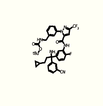 CC(C)(C)OC(=O)NCc1cccc(-n2nc(C(F)(F)F)cc2C(=O)Nc2cc(C(N)(CCC3CC3)c3cccc(C#N)c3)ccc2F)c1